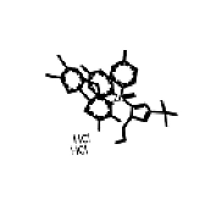 Cl.Cl.[CH2]=[Zr]([C]1=CC(C(C)(C)C)=CC1CCC)([c]1ccc(C)cc1)([c]1ccc(C)cc1)[c]1c(C)c(C)cc2c1Cc1cc(C)c(C)cc1-2